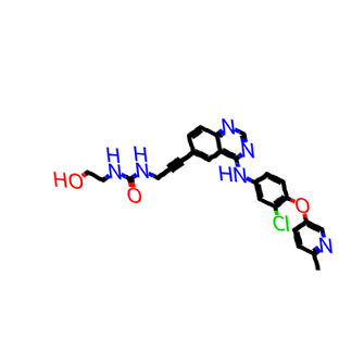 Cc1ccc(Oc2ccc(Nc3ncnc4ccc(C#CCNC(=O)NCCO)cc34)cc2Cl)cn1